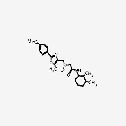 COc1ccc(-c2nc(C[S+]([O-])CC(=O)NC3CCCC(C)C3C)c(C)o2)cc1